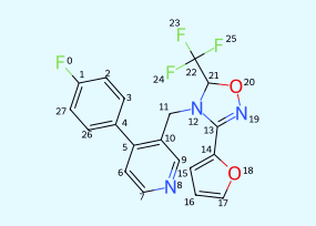 Fc1ccc(-c2ccncc2CN2C(c3ccco3)=NOC2C(F)(F)F)cc1